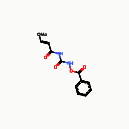 COC=CC(=O)NC(=O)NOC(=O)c1ccccc1